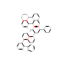 c1ccc(-c2ccc(N(c3ccc(-c4cccc5sc6ccccc6c45)cc3)c3ccccc3-c3cccc4cccc(C5CCCCC5)c34)c(-c3ccccc3)c2)cc1